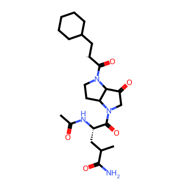 CC(=O)N[C@@H](CC(C)C(N)=O)C(=O)N1CC(=O)C2C1CCN2C(=O)[CH]CC1CCCCC1